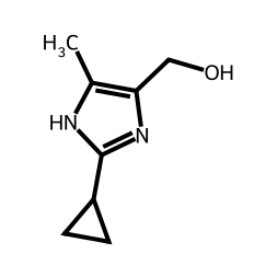 Cc1[nH]c(C2CC2)nc1CO